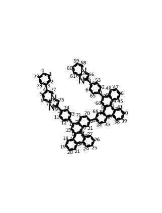 c1ccc(-c2ccc3nc(-c4ccc(-c5cc6c7ccccc7c7ccccc7c6c6cc(-c7ccc8c9ccccc9c9c%10ccccc%10c(-c%10ccc(-c%11cn%12ccccc%12n%11)cc%10)cc9c8c7)ccc56)cc4)cn3c2)cc1